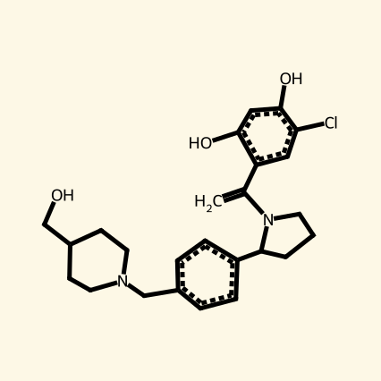 C=C(c1cc(Cl)c(O)cc1O)N1CCCC1c1ccc(CN2CCC(CO)CC2)cc1